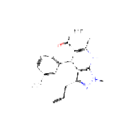 C=CCc1nn(C)c2c1C(c1cccc([N+](=O)[O-])c1)C(C(=O)OC)=C(C)N2